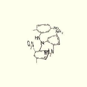 Cc1ccc(N(Nc2cc([N+](=O)[O-])ccc2C)c2cc(N)ccc2N)c([N+](=O)[O-])c1